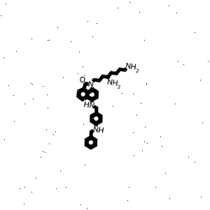 NCCCCC(N)CCCN1C(=O)c2cccc3c(NCc4ccc(NCc5ccccc5)cc4)ccc1c23